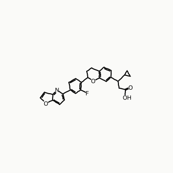 O=C(O)CC(c1ccc2c(c1)OC(c1ccc(-c3ccc4occc4n3)cc1F)CC2)C1CC1